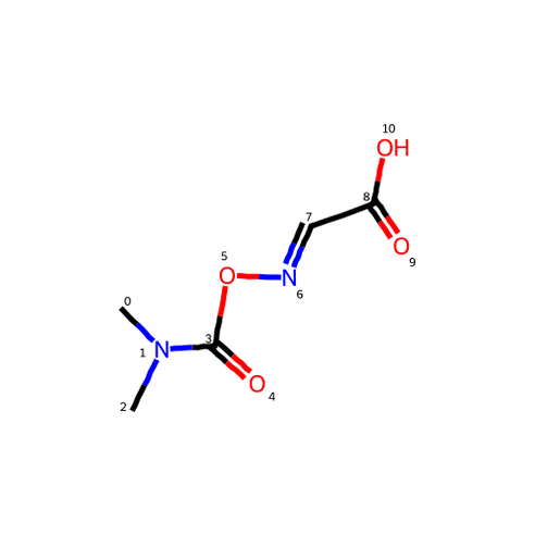 CN(C)C(=O)ON=CC(=O)O